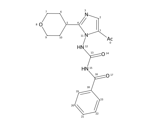 CC(=O)c1cnc(C2CCOCC2)n1NC(=O)NC(=O)c1ccccc1